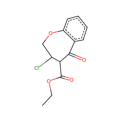 CCOC(=O)C1C(=O)c2ccccc2OCC1Cl